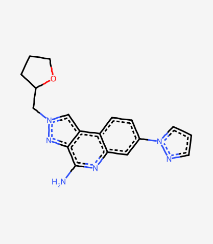 Nc1nc2cc(-n3cccn3)ccc2c2cn(CC3CCCO3)nc12